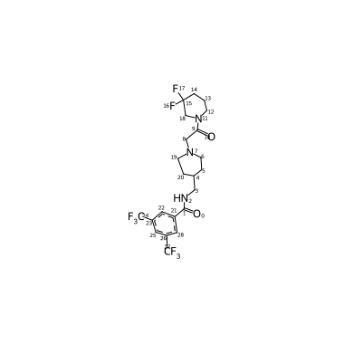 O=C(NCC1CCN(CC(=O)N2CCCC(F)(F)C2)CC1)c1cc(C(F)(F)F)cc(C(F)(F)F)c1